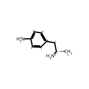 C[C@H](N)Cc1ccc(N)cc1